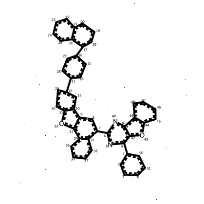 c1ccc(-c2nc(-c3cc4c5cc(-c6ccc(-c7cccc8ccccc78)cc6)ccc5oc4c4ccccc34)nc3c2oc2ccccc23)cc1